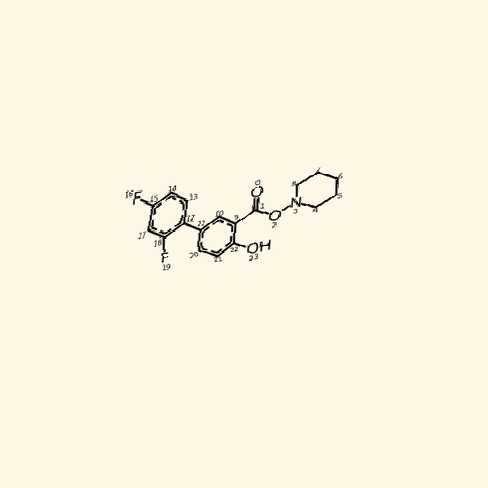 O=C(ON1CCCCC1)c1cc(-c2ccc(F)cc2F)ccc1O